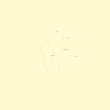 COc1cc(OC2(C3CCS(=O)(=O)CC3)C=NC(N)N=C2N)c(C(C)C)cc1OC